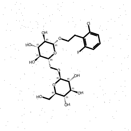 OC[C@H]1O[C@@H](OC[C@H]2O[C@@H](OCCc3c(F)cccc3Cl)[C@H](O)[C@@H](O)[C@@H]2O)[C@H](O)[C@@H](O)[C@@H]1O